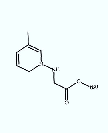 CC1=CN(NCC(=O)OC(C)(C)C)CC=C1